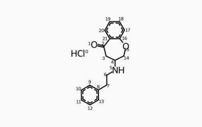 Cl.O=C1CC(NCCc2ccccc2)COc2ccccc21